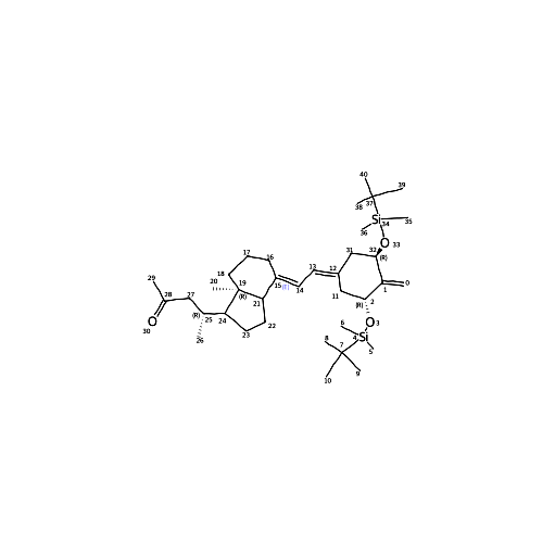 C=C1[C@H](O[Si](C)(C)C(C)(C)C)CC(=C/C=C2\CCC[C@@]3(C)C2CCC3[C@H](C)CC(C)=O)C[C@H]1O[Si](C)(C)C(C)(C)C